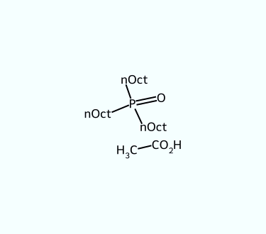 CC(=O)O.CCCCCCCCP(=O)(CCCCCCCC)CCCCCCCC